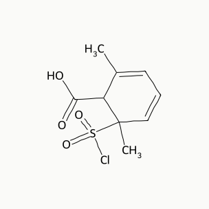 CC1=CC=CC(C)(S(=O)(=O)Cl)C1C(=O)O